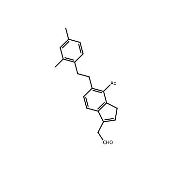 CC(=O)c1c(CCc2ccc(C)cc2C)ccc2c1CC=C2CC=O